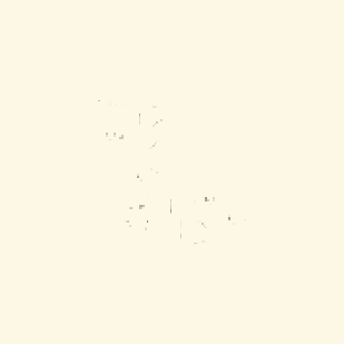 COc1cccc(C=CC2=CC(C=Cc3cccc(OC)c3OC)N(c3ccccc3)N2)c1OC